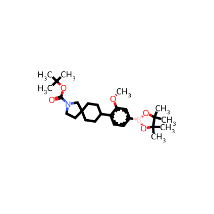 COc1cc(B2OC(C)(C)C(C)(C)O2)ccc1C1CCC2(CC1)CCN(C(=O)OC(C)(C)C)C2